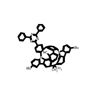 CC(C)(C)c1ccc2c(c1)c1cc3ccc1n2-c1ccc(-c2nc(-c4ccccc4)nc(-c4ccccc4)n2)cc1-c1ccc(c(-c2ccccc2C#N)c1)-n1c2ccc(C(C)(C)C)cc2c2ccc(cc21)C3(C)C